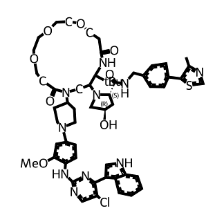 COc1cc(N2CCC(N3CC(N4C[C@H](O)C[C@H]4C(=O)NCc4ccc(-c5scnc5C)cc4)C(C(C)(C)C)NC(=O)CCOCCOCCOCCC3=O)CC2)ccc1Nc1ncc(Cl)c(-c2c[nH]c3ccccc23)n1